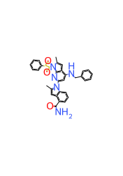 Cc1cc2c(C(N)=O)cccc2n1-c1cc(NCc2ccccc2)c2cc(C)n(S(=O)(=O)c3ccccc3)c2n1